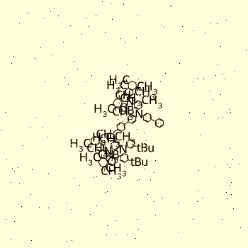 Cc1cc2c3c(c1)N(c1ccc4c(c1)C(C)(C)CCC4(C)C)c1c(oc4c1C(C)(C)CCC4(C)C)B3c1cc(-c3ccc(CC(C)(C)c4cc5c6c(c4)N(c4ccc7c(c4)C(C)(C)CCC7(C)C)c4c(oc7c4C(C)(C)CCC7(C)C)B6c4ccc(C(C)(C)C)cc4N5c4cccc(C(C)(C)C)c4)cc3)ccc1N2c1ccc(-c2ccccc2)cc1